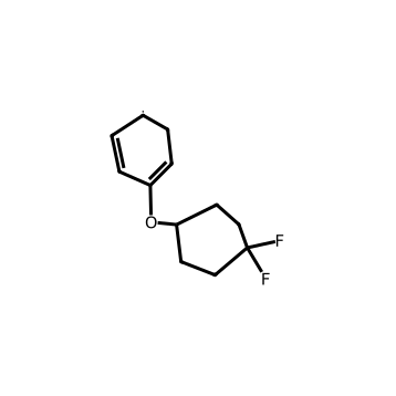 FC1(F)CCC(OC2=CC[CH]C=C2)CC1